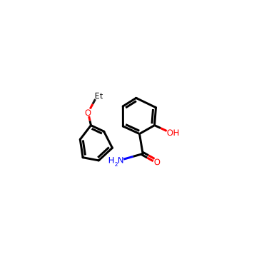 CCOc1ccccc1.NC(=O)c1ccccc1O